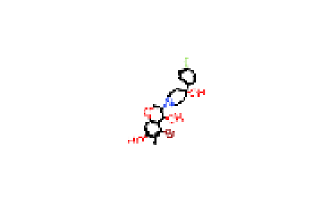 Cc1c(O)cc2c(c1Br)C(O)C(N1CCC(O)(c3ccc(F)cc3)CC1)CO2